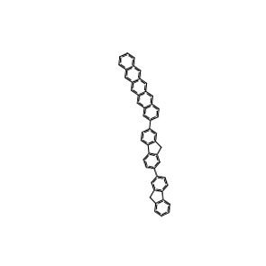 c1ccc2c(c1)Cc1cc(-c3ccc4c(c3)Cc3cc(-c5ccc6cc7cc8cc9ccccc9cc8cc7cc6c5)ccc3-4)ccc1-2